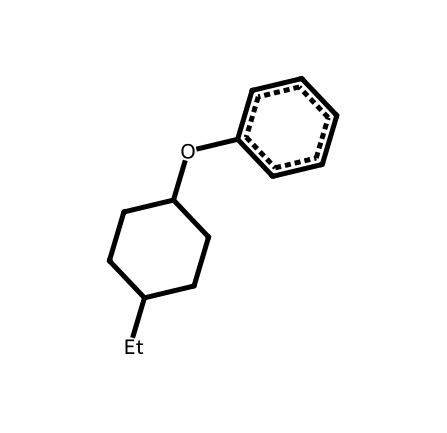 [CH2]CC1CCC(Oc2ccccc2)CC1